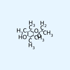 C=C(C)C(=O)Oc1c(C)c(C)c(O)c(C)c1C